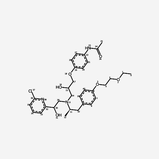 CCOCCOc1ccc(C[C@@H](C)N(CC(O)COc2ccc(NC(C)=O)cc2)CC(O)c2cccc(Cl)n2)cc1